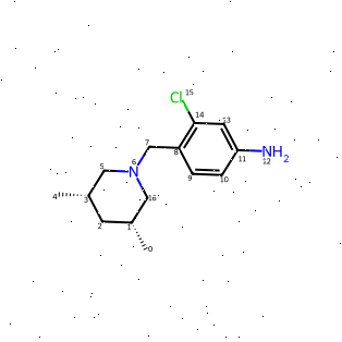 C[C@@H]1C[C@H](C)CN(Cc2ccc(N)cc2Cl)C1